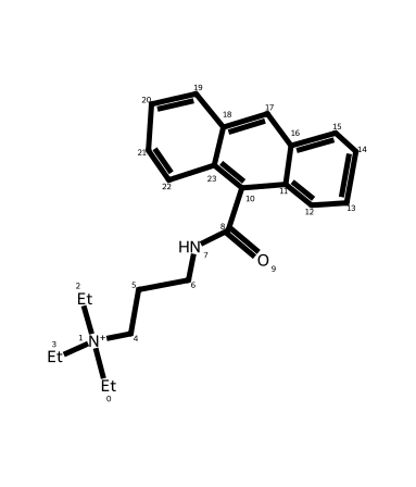 CC[N+](CC)(CC)CCCNC(=O)c1c2ccccc2cc2ccccc12